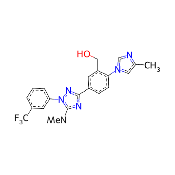 CNc1nc(-c2ccc(-n3cnc(C)c3)c(CO)c2)nn1-c1cccc(C(F)(F)F)c1